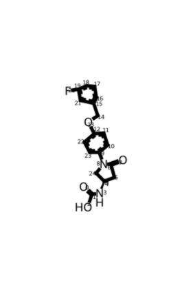 O=C(O)N[C@@H]1CC(=O)N(c2ccc(OCc3cccc(F)c3)cc2)C1